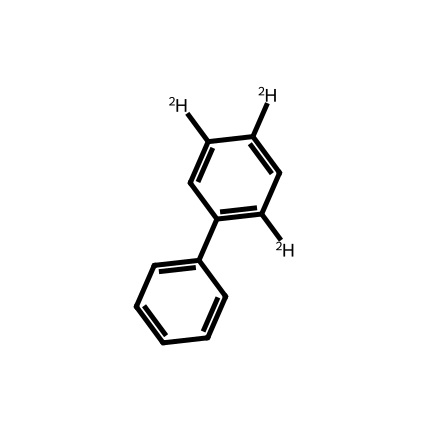 [2H]c1cc([2H])c(-c2ccccc2)cc1[2H]